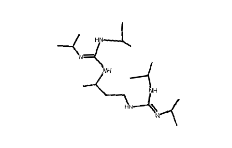 CC(C)N=C(NCCC(C)NC(=NC(C)C)NC(C)C)NC(C)C